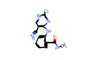 CNC(=O)c1ccccc1Nc1nc(Cl)ncc1C#N